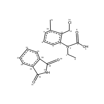 CCN(C(=O)O)c1cccc(C)c1CCl.O=C1NC(=O)c2ccccc21